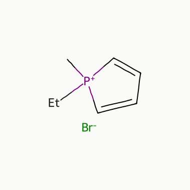 CC[P+]1(C)C=CC=C1.[Br-]